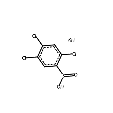 O=S(O)c1cc(Cl)c(Cl)cc1Cl.[KH]